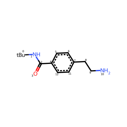 CC(C)(C)NC(=O)c1ccc(CCN)cc1